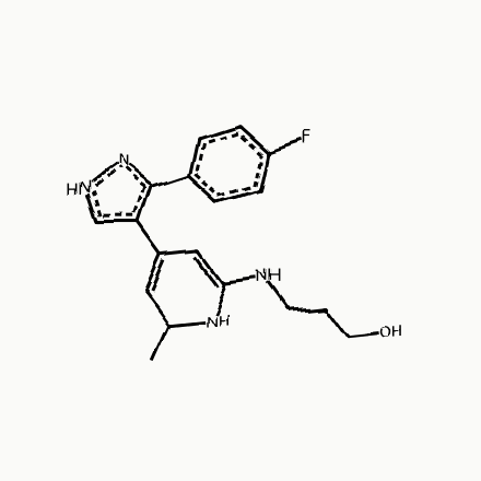 CC1C=C(c2c[nH]nc2-c2ccc(F)cc2)C=C(NCCCO)N1